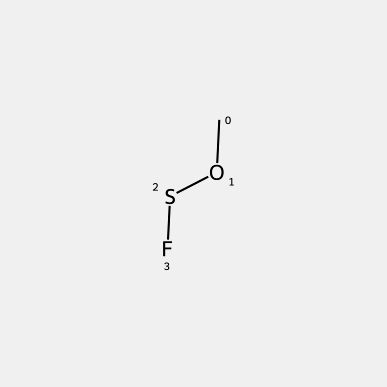 COSF